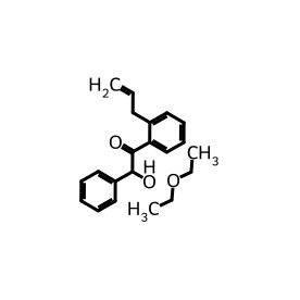 C=CCc1ccccc1C(=O)C(O)c1ccccc1.CCOCC